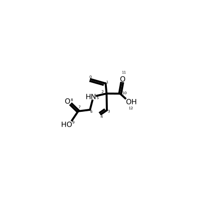 C=CC(C=C)(NCC(=O)O)C(=O)O